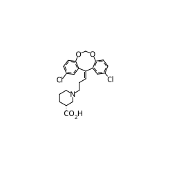 O=C(O)[C@@H]1CCCN(CCC=C2c3cc(Cl)ccc3OCOc3ccc(Cl)cc32)C1